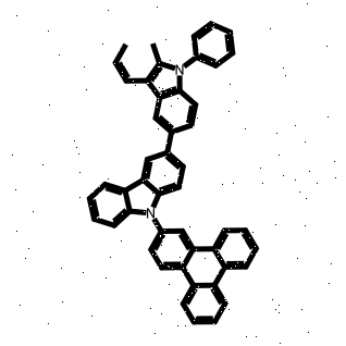 C/C=C\c1c(C)n(-c2ccccc2)c2ccc(-c3ccc4c(c3)c3ccccc3n4-c3ccc4c5ccccc5c5ccccc5c4c3)cc12